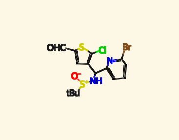 CC(C)(C)[S+]([O-])NC(c1cccc(Br)n1)c1cc(C=O)sc1Cl